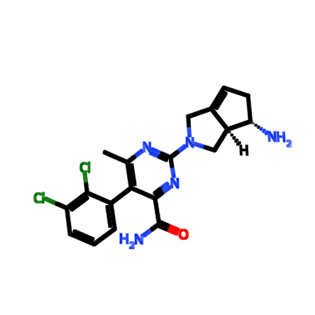 Cc1nc(N2CC3=CC[C@H](N)[C@H]3C2)nc(C(N)=O)c1-c1cccc(Cl)c1Cl